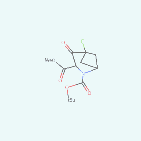 COC(=O)C1C(=O)C2(F)CC(C2)N1C(=O)OC(C)(C)C